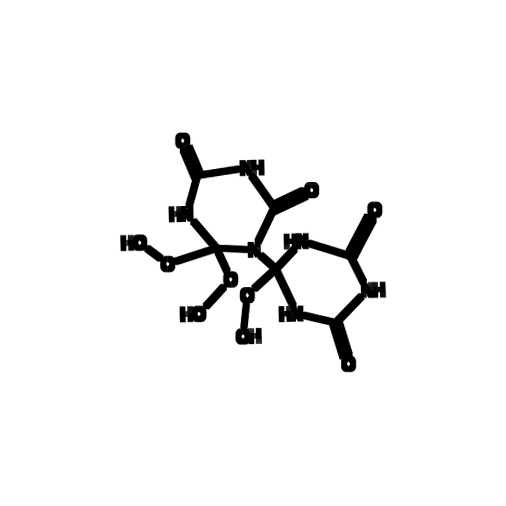 O=C1NC(=O)NC(OO)(N2C(=O)NC(=O)NC2(OO)OO)N1